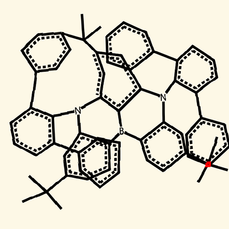 CC(C)(C)c1ccc2c(c1)N(c1c(-c3ccccc3)cccc1-c1ccccc1)c1cc3cc4c1B2c1ccc(C(C)(C)C)cc1N4c1c(-c2ccccc2)cccc1-c1ccc(cc1)C3(C)C